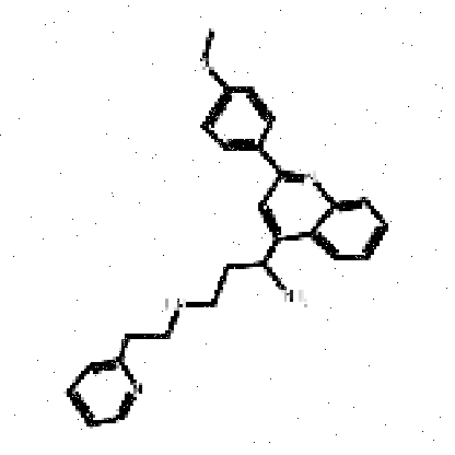 COc1ccc(-c2cc(C(N)CCNCCc3ccccn3)c3ccccc3n2)cc1